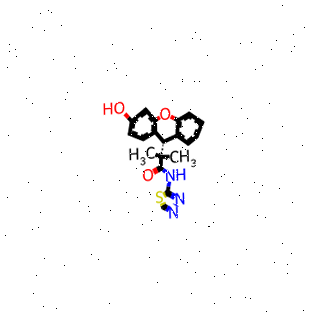 CC(C)(C(=O)Nc1nncs1)[C@H]1c2ccccc2Oc2cc(O)ccc21